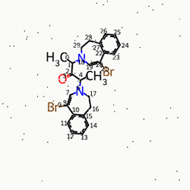 CC(C(=O)C(C)N1C=C(Br)c2ccccc2CC1)N1C=C(Br)c2ccccc2CC1